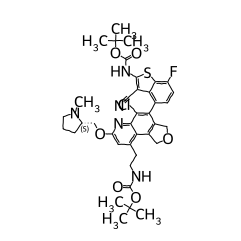 CN1CCC[C@H]1COc1cc(CCNC(=O)OC(C)(C)C)c2c3c(c(-c4ccc(F)c5sc(NC(=O)OC(C)(C)C)c(C#N)c45)c(Cl)c2n1)COC3